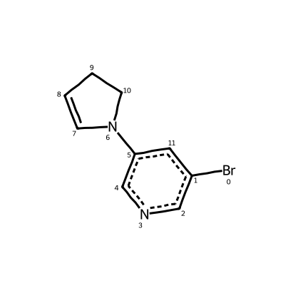 Brc1cncc(N2C=CCC2)c1